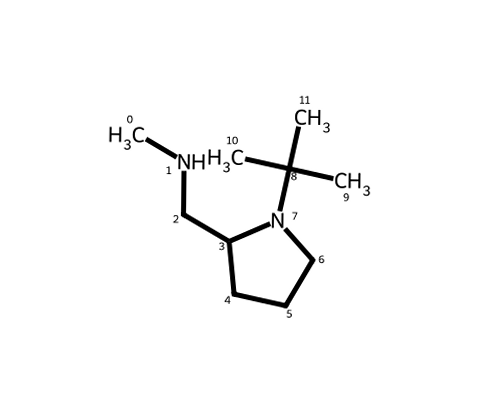 CNCC1CCCN1C(C)(C)C